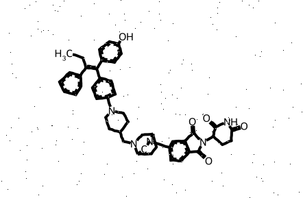 CCC(=C(c1ccc(O)cc1)c1ccc(N2CCC(CN3CC4CCC3CN4c3ccc4c(c3)C(=O)N(C3CCC(=O)NC3=O)C4=O)CC2)cc1)c1ccccc1